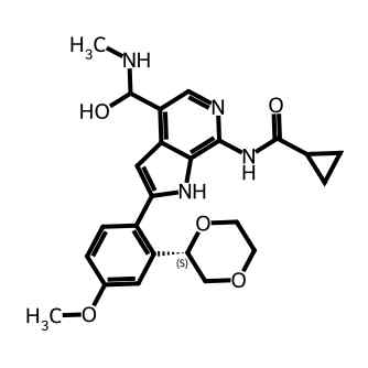 CNC(O)c1cnc(NC(=O)C2CC2)c2[nH]c(-c3ccc(OC)cc3[C@H]3COCCO3)cc12